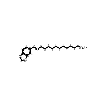 CC(=O)OCCCCCCCCCCCOCc1ccc2c(c1)OCO2